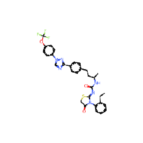 CCc1ccccc1N1C(=O)CS/C1=N\C(=O)NC(C)CCc1ccc(-c2ncn(-c3ccc(OC(F)(F)F)cc3)n2)cc1